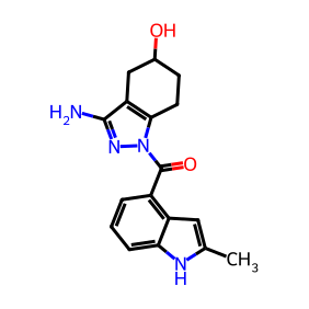 Cc1cc2c(C(=O)n3nc(N)c4c3CCC(O)C4)cccc2[nH]1